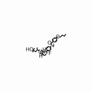 CCCCOc1ccc(C(=O)N(C)c2ccc(N3CC[C@@H]4CN(C(C)CC(C)(C)O)C[C@@H]43)c(F)c2)cc1